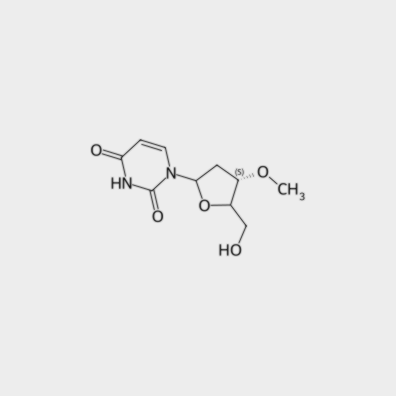 CO[C@H]1CC(n2ccc(=O)[nH]c2=O)OC1CO